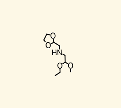 CCOC(CNCC1OCCO1)OC